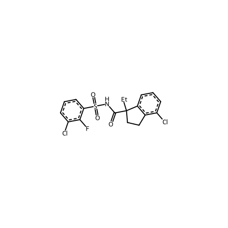 CCC1(C(=O)NS(=O)(=O)c2cccc(Cl)c2F)CCc2c(Cl)cccc21